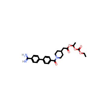 CCOC(=O)OC(C)OC(=O)CC1CCN(C(=O)c2ccc(-c3ccc(C(=N)N)cc3)cc2)CC1